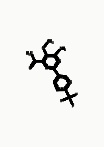 COc1c(N)nc(-c2ccc(C(F)(F)F)nc2)nc1C(C)=O